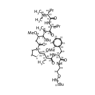 CC[C@H](C)C(C(CC(=O)N1CCC[C@H]1[C@H](OC)[C@@H](C)C(=O)N[C@@H](Cc1ccccc1)C(=O)NCCONC(C)(C)C)OC)N(C)C(=O)[C@@H](NC(=O)[C@H](C(C)C)N(C)C)C(C)C